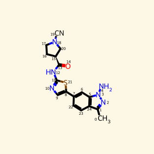 Cc1nn(N)c2cc(-c3cnc(NC(=O)[C@H]4CCN(C#N)C4)s3)ccc12